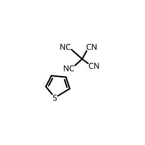 N#CC(C#N)(C#N)C#N.c1ccsc1